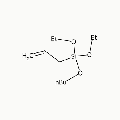 C=CC[Si](OCC)(OCC)OCCCC